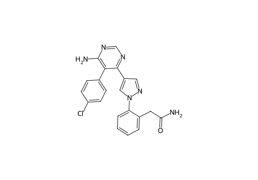 NC(=O)Cc1ccccc1-n1cc(-c2ncnc(N)c2-c2ccc(Cl)cc2)cn1